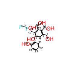 FCF.OCc1cc(O)c(CO)c(CO)c1CO.Oc1ccccc1